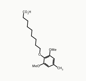 COc1cc(C)cc(OC)c1OCCCCCCCCC(=O)O